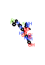 CCOc1nc2[nH]cc(F)c2cc1Oc1cc(N2CCC3(CC2)CN(C2CCCC2c2ccccc2C(F)(F)F)C3)ccc1C(=O)NS(=O)(=O)c1cnc(NCC2CCC(C)(O)CC2)c([N+](=O)[O-])c1